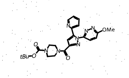 COc1ccc(-n2nc(C(=O)N3CCN(C(=O)OC(C)(C)C)CC3)cc2-c2ccccn2)nn1